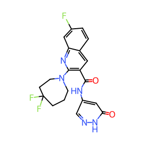 O=C(Nc1cn[nH]c(=O)c1)c1cc2ccc(F)cc2nc1N1CCCC(F)(F)CC1